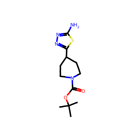 CC(C)(C)OC(=O)N1CCC(c2nnc(N)s2)CC1